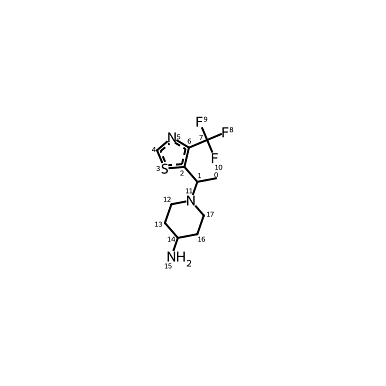 CC(c1scnc1C(F)(F)F)N1CCC(N)CC1